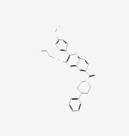 O=CCCCCc1nc2cc(C(=O)N3CCC(c4ccccc4)CC3)ccc2nc1-c1ccc(OC(F)(F)F)cc1